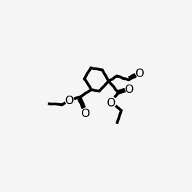 CCOC(=O)C1CCCC(CC=O)(C(=O)OCC)C1